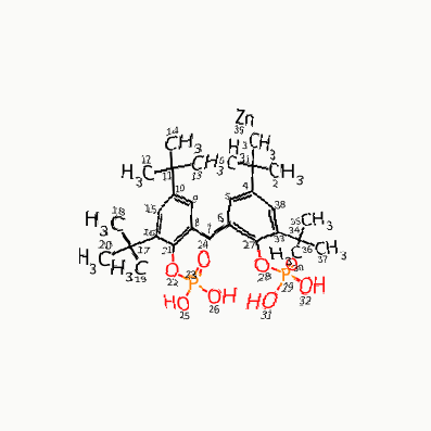 CC(C)(C)c1cc(Cc2cc(C(C)(C)C)cc(C(C)(C)C)c2OP(=O)(O)O)c(OP(=O)(O)O)c(C(C)(C)C)c1.[Zn]